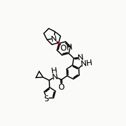 O=C(NC(c1ccsc1)C1CC1)c1ccc2[nH]nc(-c3ccc(N4C5CCC4CC(O)C5)cc3)c2c1